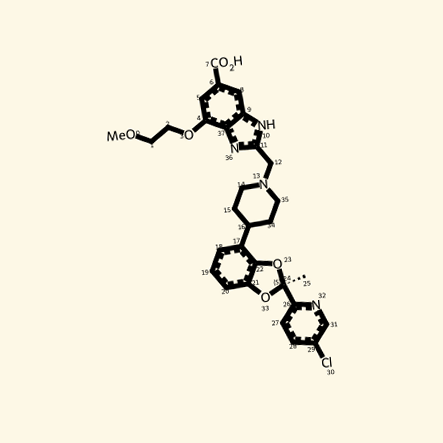 COCCOc1cc(C(=O)O)cc2[nH]c(CN3CCC(c4cccc5c4O[C@@](C)(c4ccc(Cl)cn4)O5)CC3)nc12